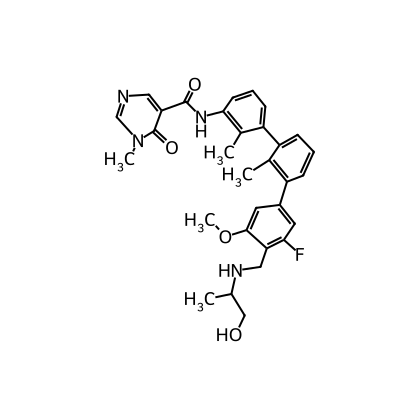 COc1cc(-c2cccc(-c3cccc(NC(=O)c4cncn(C)c4=O)c3C)c2C)cc(F)c1CNC(C)CO